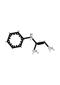 C/C=C(\C)Nc1ccccc1